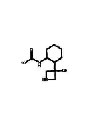 O=C(O)NC1CCCCC1C1(O)CNC1